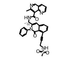 Cc1ncc2cccnc2c1C(=O)N[C@@H](C)c1cc2cccc(C#CCNS(C)(=O)=O)c2c(=O)n1-c1ccccc1